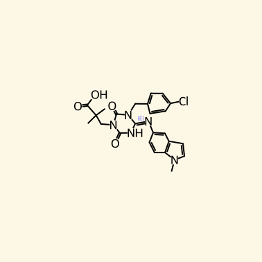 Cn1ccc2cc(/N=c3\[nH]c(=O)n(CC(C)(C)C(=O)O)c(=O)n3Cc3ccc(Cl)cc3)ccc21